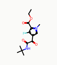 CCOC(=O)c1c(F)c(C(=O)C(=O)NC(C)(C)C)cn1C